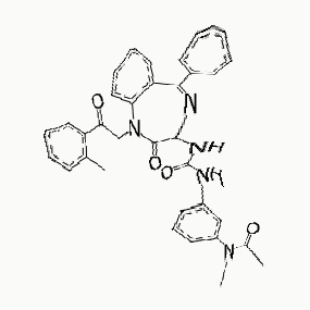 CC(=O)N(C)c1cccc(NC(=O)NC2N=C(c3ccccc3)c3ccccc3N(CC(=O)c3ccccc3C)C2=O)c1